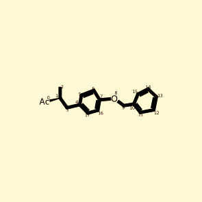 CC(=O)[C@@H](C)Cc1ccc(OCc2ccccc2)cc1